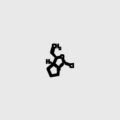 C=C[C@H]1OP(Cl)N2CCC[C@@H]12